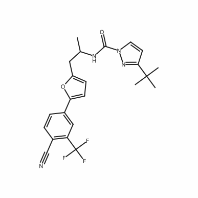 CC(Cc1ccc(-c2ccc(C#N)c(C(F)(F)F)c2)o1)NC(=O)n1ccc(C(C)(C)C)n1